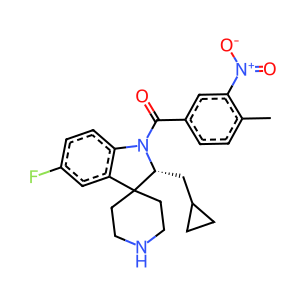 Cc1ccc(C(=O)N2c3ccc(F)cc3C3(CCNCC3)[C@H]2CC2CC2)cc1[N+](=O)[O-]